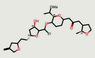 C=C1COC(CC[C@@H]2C[C@@H](O)C(C(CC)OC3CCC(CC(=O)CC4CCO[C@H]4C)O[C@@H]3C(C)OC)O2)C1